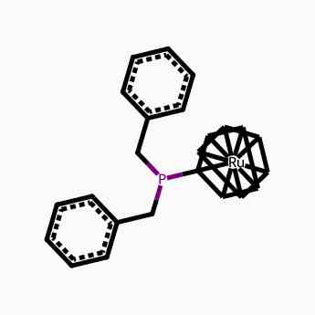 c1ccc(CP(Cc2ccccc2)[C]23[CH]4[CH]5[CH]6[CH]2[Ru]56432789[CH]3[CH]2[CH]7[CH]8[CH]39)cc1